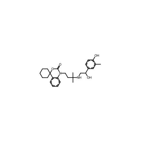 Cc1cc(C(O)CNC(C)(C)CCN2C(=O)OC3(CCCCC3)c3ccccc32)ccc1O